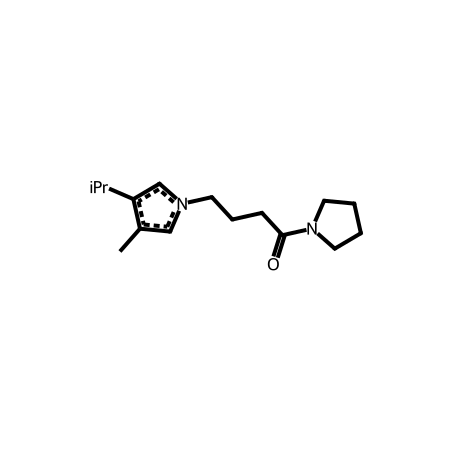 Cc1cn(CCCC(=O)N2CCCC2)cc1C(C)C